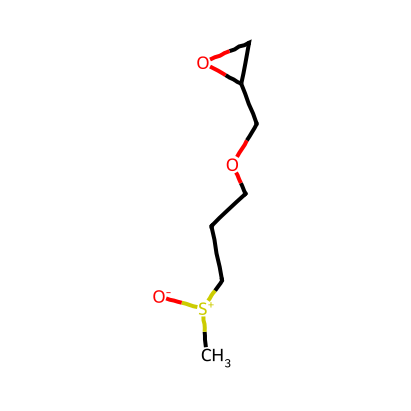 C[S+]([O-])CCCOCC1CO1